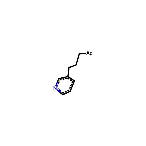 CC(=O)CCCc1cccnc1